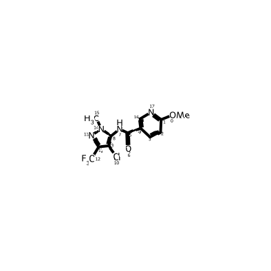 COc1ccc(C(=O)Nc2c(Cl)c(C(F)(F)F)nn2C)cn1